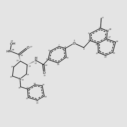 Cc1cc(COc2ccc(C(=O)N[C@@H]3CN(Cc4cccnc4)CC[C@@H]3C(=O)NO)cc2)c2ccccc2n1